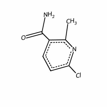 Cc1nc(Cl)ccc1C(N)=O